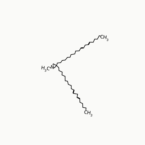 CCCCCC=CCC=CCCCCCCCCCCC1(CCCCCCCCCCC=CCC=CCCCCC)CN(C)C1